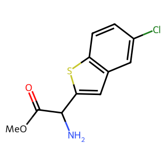 COC(=O)C(N)c1cc2cc(Cl)ccc2s1